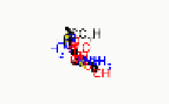 CC=CC1=C(C(=O)Oc2ccc([C@@H](N)C(=O)N[C@@H]3C(=O)N4C(C(=O)O)=C(C=CC)CS[C@@H]34)cc2)N2C(=O)C(NC(=O)[C@H](N)c3ccc(O)cc3)C2SC1.O